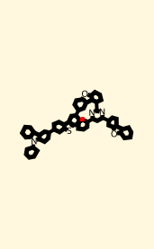 c1ccc(-c2cc(-c3ccc4c(c3)oc3ccccc34)nc(-c3cccc4oc5ccc(-c6ccc7sc8cc(-c9ccc%10c(c9)c9ccccc9n%10-c9ccccc9)ccc8c7c6)cc5c34)n2)cc1